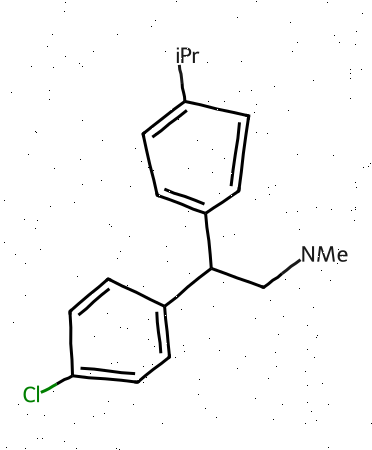 CNCC(c1ccc(Cl)cc1)c1ccc(C(C)C)cc1